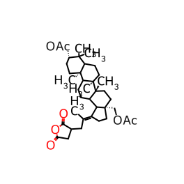 CC(=O)OC[C@]12CC/C(=C(/C)CC3CC(=O)OC3=O)C1C1CCC3[C@@]4(C)CC[C@H](OC(C)=O)C(C)(C)C4CC[C@@]3(C)[C@]1(C)CC2